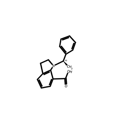 C[C@H](c1ccccc1)N1CCc2cccc(C(=O)O)c21